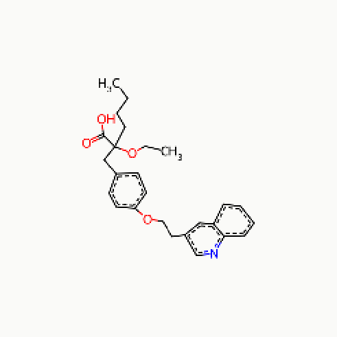 CCCCC(Cc1ccc(OCCc2cnc3ccccc3c2)cc1)(OCC)C(=O)O